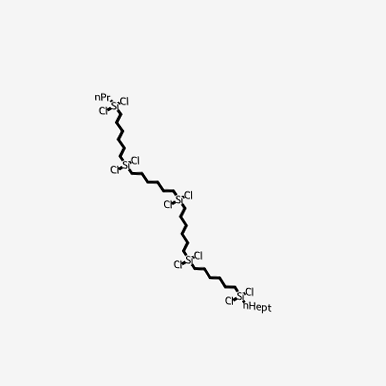 CCCCCCC[Si](Cl)(Cl)CCCCCC[Si](Cl)(Cl)CCCCCC[Si](Cl)(Cl)CCCCCC[Si](Cl)(Cl)CCCCCC[Si](Cl)(Cl)CCC